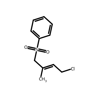 CC(=CCCl)CS(=O)(=O)c1ccccc1